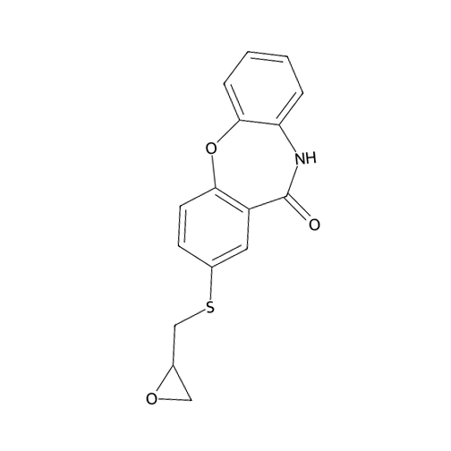 O=C1Nc2ccccc2Oc2ccc(SCC3CO3)cc21